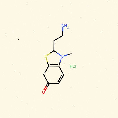 CN1C2=C(CC(=O)C=C2)SC1CCN.Cl